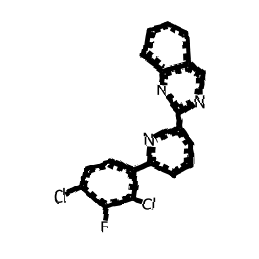 Fc1c(Cl)ccc(-c2cccc(-c3ncc4ccccc4n3)n2)c1Cl